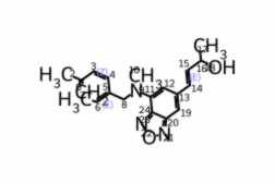 C=C(C)/C=C\C(=C/C)CN(C)c1cc(/C=C/C(C)O)cc2nonc12